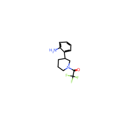 Nc1ccccc1C1CCCN(C(=O)C(F)(F)F)C1